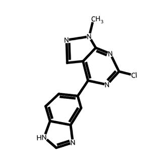 Cn1ncc2c(-c3ccc4[nH]cnc4c3)nc(Cl)nc21